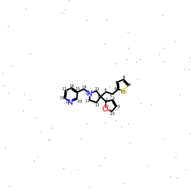 C1=CC(C2(CCc3cccs3)CCN(Cc3cccnc3)C2)OC1